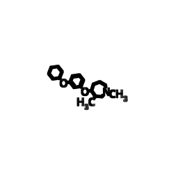 CC1CN(C)CCCC1Oc1cccc(OC2CCCCC2)c1